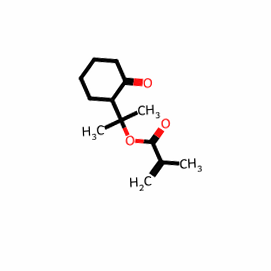 C=C(C)C(=O)OC(C)(C)C1CCCCC1=O